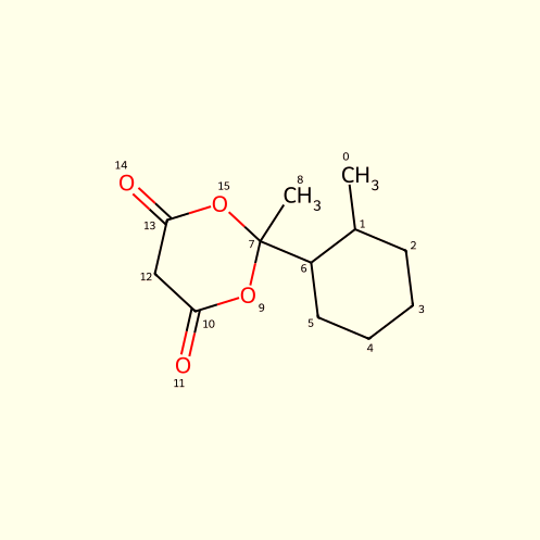 CC1CCCCC1C1(C)OC(=O)CC(=O)O1